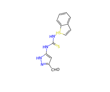 O=Cc1cc(NC(=S)N[SH]2C=Cc3ccccc32)[nH]n1